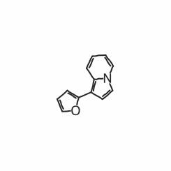 c1coc(-c2ccn3ccccc23)c1